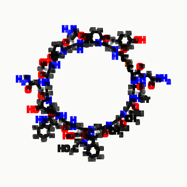 CCCC[C@H]1C(=O)N(C)[C@@H](CCCC)C(=O)N[C@@H](CC(C)C)C(=O)N[C@H](C(=O)NCC(N)=O)CSCC(=O)N[C@@H](Cc2ccc(O)cc2)C(=O)N2CCCC[C@H]2C(=O)N[C@@H](CC(N)=O)C(=O)N2CCC[C@H]2C(=O)N[C@@H](CO)C(=O)N[C@@H](CCC(N)=O)C(=O)N2C[C@H](O)C[C@H]2C(=O)N[C@@H](Cc2c[nH]c3ccccc23)C(=O)N[C@@H](CO)C(=O)N[C@@H](Cc2cn(CC(=O)O)c3ccccc23)C(=O)N1C